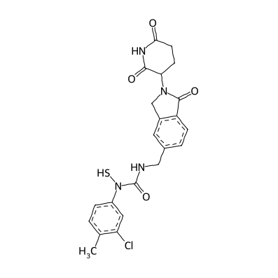 Cc1ccc(N(S)C(=O)NCc2ccc3c(c2)CN(C2CCC(=O)NC2=O)C3=O)cc1Cl